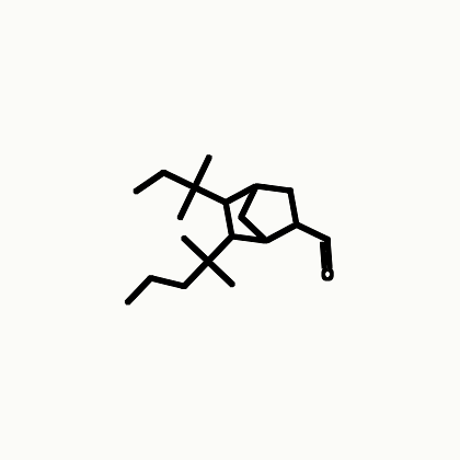 CCCC(C)(C)C1C2CC(CC2C=O)C1C(C)(C)CC